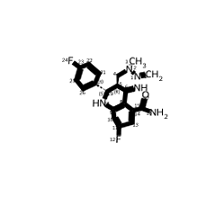 C=NN(C)C[C@H]1C(=N)c2c(cc(F)cc2C(N)=O)N[C@@H]1c1ccc(F)cc1